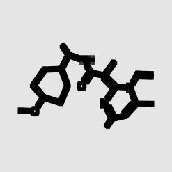 C=CN1C(C)=CC(C)=N/C1=C(/C)C(=O)NC(C)C1CCC(OC)CC1